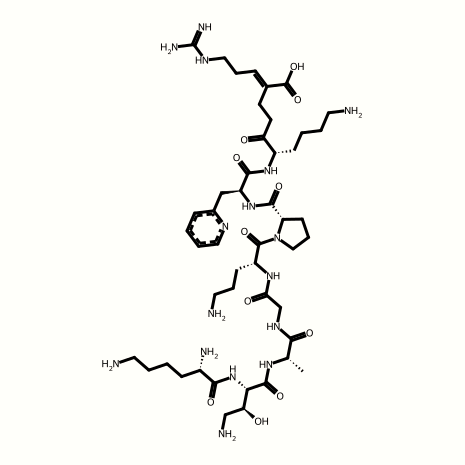 C[C@H](NC(=O)[C@@H](NC(=O)[C@@H](N)CCCCN)[C@@H](O)CN)C(=O)NCC(=O)N[C@H](CCCN)C(=O)N1CCC[C@H]1C(=O)N[C@@H](Cc1ccccn1)C(=O)N[C@@H](CCCCN)C(=O)CC/C(=C\CCNC(=N)N)C(=O)O